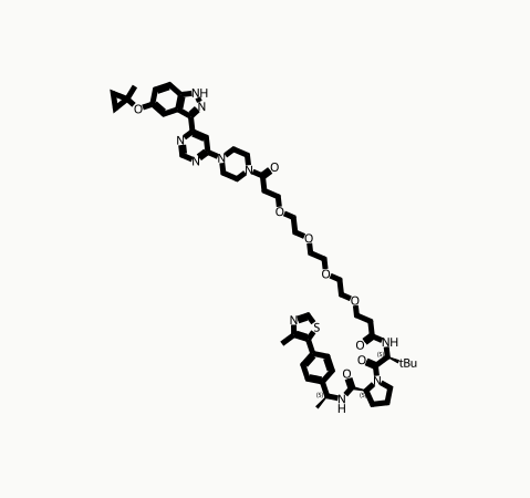 Cc1ncsc1-c1ccc([C@H](C)NC(=O)[C@@H]2CCCN2C(=O)[C@@H](NC(=O)CCOCCOCCOCCOCCC(=O)N2CCN(c3cc(-c4n[nH]c5ccc(OC6(C)CC6)cc45)ncn3)CC2)C(C)(C)C)cc1